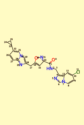 O=C(NCc1ncn2ccc(Cl)cc12)c1cc(Cc2cn3cc(C4CC4)ccc3n2)on1